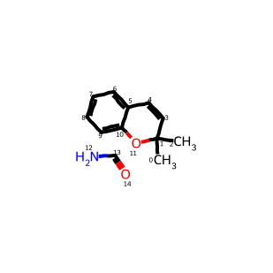 CC1(C)C=Cc2ccccc2O1.NC=O